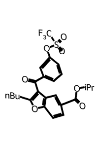 CCCCc1oc2ccc(C(=O)OC(C)C)cc2c1C(=O)c1cccc(OS(=O)(=O)C(F)(F)F)c1